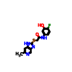 Cc1cc2[nH]c(SCC(=O)Nc3ccc(F)c(O)c3)nc2cn1